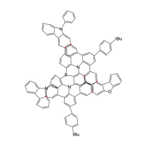 CC(C)(C)c1ccc(-c2cc(-c3ccccc3)c(N3c4cc(-c5ccc6c(c5)c5ccccc5n6-c5ccccc5)ccc4B4c5ccc(-n6c7ccccc7c7ccccc76)cc5N(c5c(-c6ccccc6)cc(-c6ccc(C(C)(C)C)cc6)cc5-c5ccccc5)c5cc(-c6ccc7oc8ccccc8c7c6)cc3c54)c(-c3ccccc3)c2)cc1